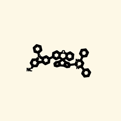 N#Cc1ccc2c(c1)c1ccc(-c3ccc4c(c3)C3(c5ccccc5O4)c4ccccc4-c4ccc(-c5nc(-c6ccccc6)cc(-c6ccccc6)n5)cc43)cc1n2-c1ccccc1